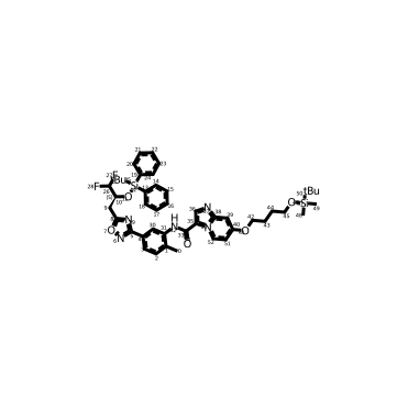 Cc1ccc(-c2noc(C[C@H](O[Si](c3ccccc3)(c3ccccc3)C(C)(C)C)C(F)F)n2)cc1NC(=O)c1cnc2cc(OCCCCO[Si](C)(C)C(C)(C)C)ccn12